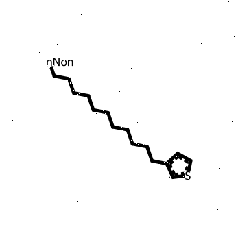 CCCCCCCCCCCCCCCCCCCCc1[c]scc1